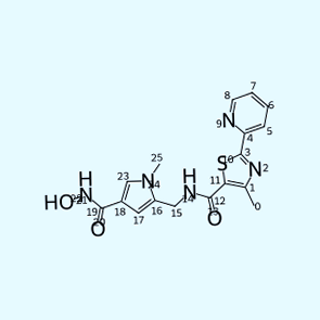 Cc1nc(-c2ccccn2)sc1C(=O)NCc1cc(C(=O)NO)cn1C